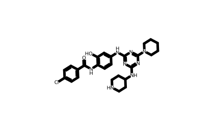 O=C(Nc1ccc(Nc2nc(NC3CCNCC3)nc(N3CCCCC3)n2)cc1O)c1ccc(Cl)cc1